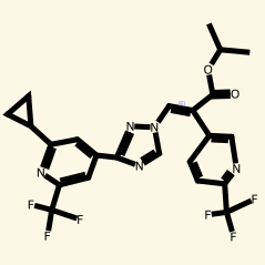 CC(C)OC(=O)/C(=C/n1cnc(-c2cc(C3CC3)nc(C(F)(F)F)c2)n1)c1ccc(C(F)(F)F)nc1